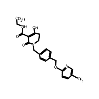 O=C(O)CNC(=O)C1=C(O)CCN(Cc2ccc(COc3ccc(C(F)(F)F)cn3)cc2)C1=O